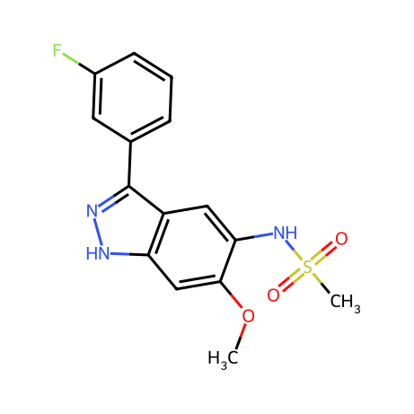 COc1cc2[nH]nc(-c3cccc(F)c3)c2cc1NS(C)(=O)=O